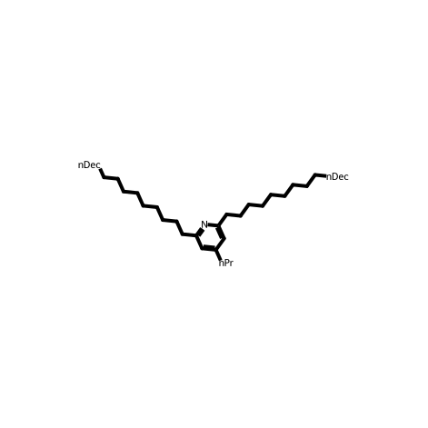 [CH2]CCc1cc(CCCCCCCCCCCCCCCCCCC)nc(CCCCCCCCCCCCCCCCCCC)c1